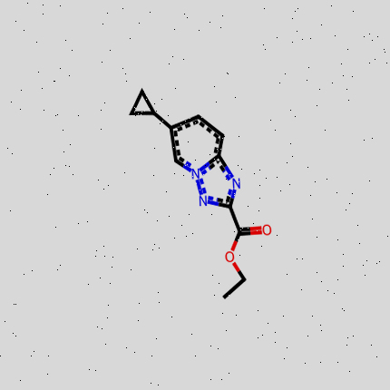 CCOC(=O)c1nc2ccc(C3CC3)cn2n1